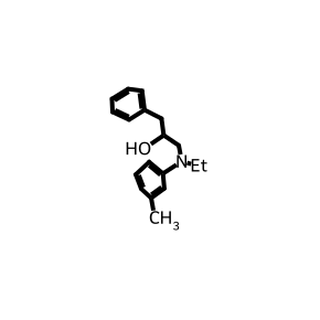 CCN(CC(O)Cc1ccccc1)c1cccc(C)c1